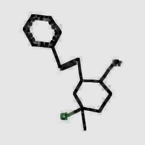 CC(C)C1CCC(C)(Cl)CC1C=Cc1ccccc1